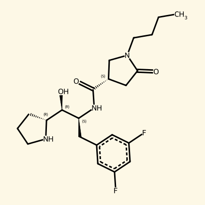 CCCCN1C[C@@H](C(=O)N[C@@H](Cc2cc(F)cc(F)c2)[C@H](O)[C@H]2CCCN2)CC1=O